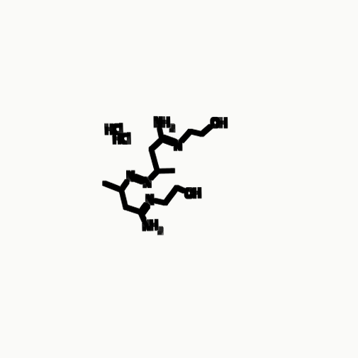 CC(CC(N)=NCCO)N=NC(C)CC(N)=NCCO.Cl.Cl